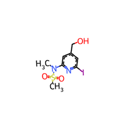 CN(c1cc(CO)cc(I)n1)S(C)(=O)=O